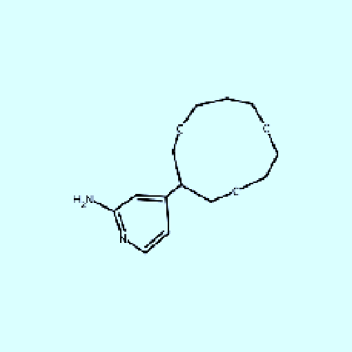 Nc1cc(C2CCCCCCCCCC2)ccn1